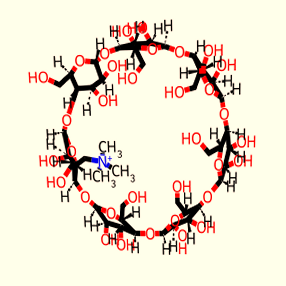 C[N+](C)(C)C[C@H]1O[C@@H]2O[C@H]3[C@H](O)[C@@H](O)[C@@H](O[C@H]4[C@H](O)[C@@H](O)[C@@H](O[C@H]5[C@H](O)[C@@H](O)[C@@H](O[C@H]6[C@H](O)[C@@H](O)[C@@H](O[C@H]7[C@H](O)[C@@H](O)[C@@H](O[C@H]8[C@H](O)[C@@H](O)[C@@H](O[C@H]1[C@H](O)[C@H]2O)O[C@@H]8CO)O[C@@H]7CO)O[C@@H]6CO)O[C@@H]5CO)O[C@@H]4CO)O[C@@H]3CO